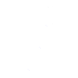 CC(=O)NC[C@H]1CN(c2ccc(N3CCC(=C/C=N/O)CC3)c(F)c2)C(=O)O1